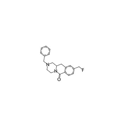 O=C1c2ccc(CF)cc2CC2CN(Cc3ccccc3)CCN12